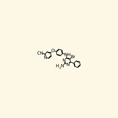 [C-]#[N+]c1cc(Oc2ccc(Nc3nc(N)nc(-c4ccccc4)c3Br)cc2)ccn1